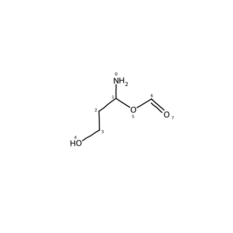 NC(CCO)OC=O